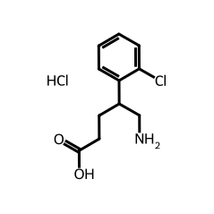 Cl.NCC(CCC(=O)O)c1ccccc1Cl